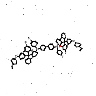 C=Cc1ccc(Oc2ccc(C3(c4c(F)cc(F)cc4F)c4ccccc4-c4ccc(N(c5ccc(F)cc5)c5ccc(-c6ccc(N(c7ccc(F)cc7)c7ccc8c(c7)C(c7ccc(Oc9ccc(C=C)cc9)cc7)(c7c(F)cc(F)cc7F)c7ccccc7-8)cc6)cc5)cc43)cc2)cc1